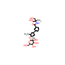 Cc1cc(-c2cccc(C(=O)NC(C)(CO)CO)c2)ccc1O[C@H]1O[C@H](CO)[C@@H](O)[C@H](O)[C@]1(C)O